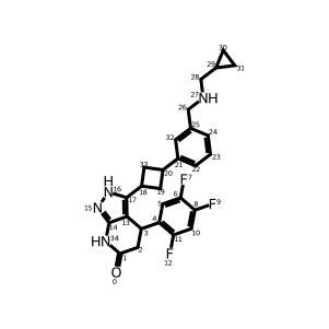 O=C1CC(c2cc(F)c(F)cc2F)c2c(n[nH]c2C2CC(c3cccc(CNCC4CC4)c3)C2)N1